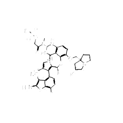 CCS(=O)(=O)O[C@@H](C)C(=O)N(C)[C@H]1Nc2ccc(OC[C@@]34CCCN3C[C@H](F)C4)c3c2[C@@H](N1)n1cc(Cl)c(-c2ccc(F)c4sc(N)c(C#N)c24)c1C(F)O3